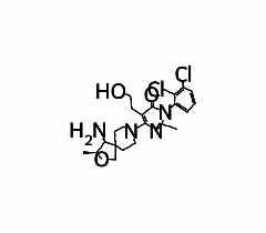 Cc1nc(N2CCC3(CC2)CO[C@@H](C)[C@H]3N)c(CCO)c(=O)n1-c1cccc(Cl)c1Cl